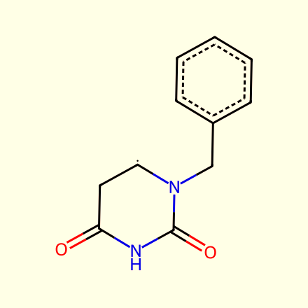 O=C1C[CH]N(Cc2ccccc2)C(=O)N1